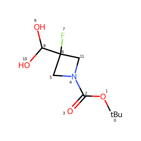 CC(C)(C)OC(=O)N1CC(F)(C(O)O)C1